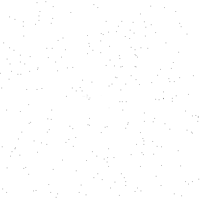 CCCC(CC)C(=O)NC(CC)CC